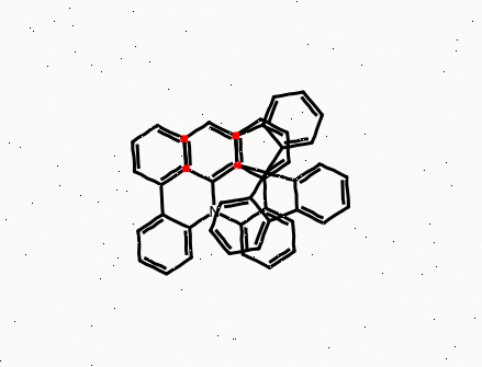 c1ccc(-c2ccccc2N(c2ccccc2-c2ccccc2)c2cccc3c2C2(c4ccccc4-c4ccccc42)c2ccccc2-3)cc1